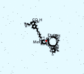 CC[C@H]1OC(=O)[C@H](C)[C@@H](O[C@H]2C[C@@](C)(OC)[C@@H](OCCCOCCCc3ccc4c(c3)c(=O)c(C(=O)O)cn4CCN(C)C)[C@H](C)O2)[C@H](C)[C@@H](O[C@@H]2O[C@H](C)C[C@H](N(C)C)[C@H]2O)[C@](C)(O)C[C@@H](C)CN(C)[C@H](C)[C@@H](O)[C@]1(C)O